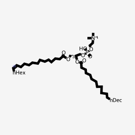 CCCCCC/C=C\CCCCCCCCCCCC(=O)OC[C@H](COP(=O)(O)OCC[N+](C)(C)C)OC(=O)CCCCCCCCCCCCCCCCCCCCC